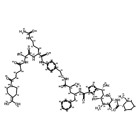 CC[C@H](C)[C@H](NC(=O)[C@H]1CCCCN1C)C(=O)N(C)[C@H](C[C@@H](OC(C)=O)c1nc(C(=O)N[C@@H](Cc2ccccc2)C[C@H](C)C(=O)NOCc2ccc(NC(=O)[C@H](CCCNC(N)=O)NC(=O)[C@@H](NC(=O)CCCC(=O)N3CCC(C(O)O)CC3)C(C)C)cc2)cs1)C(C)C